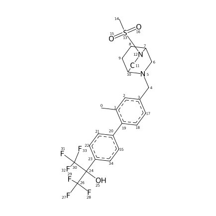 Cc1cc(CN2CC3CCC2CN3S(C)(=O)=O)ccc1-c1ccc(C(O)(C(F)(F)F)C(F)(F)F)cc1